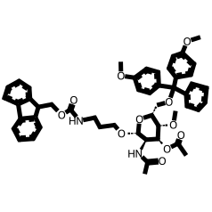 COc1ccc(C(OC[C@H]2O[C@@H](OCCCNC(=O)OCC3c4ccccc4-c4ccccc43)[C@H](NC(C)=O)[C@@H](OC(C)=O)[C@H]2OC)(c2ccccc2)c2ccc(OC)cc2)cc1